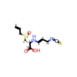 C=CC[S+]([O-])C[C@H](NC=CCN=C=S)C(=O)O